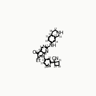 CCn1c(=O)c2cnc(Nc3ccc4c(c3)CNCC4)nc2n1-c1ccnc(C2(C#N)CCC2)c1